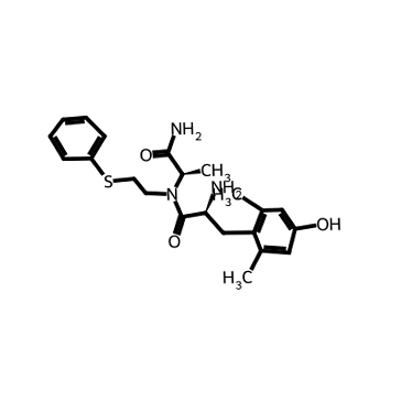 Cc1cc(O)cc(C)c1C[C@H](N)C(=O)N(CCSc1ccccc1)[C@H](C)C(N)=O